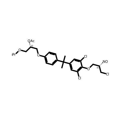 CC(=O)O[C@H](COc1ccc(C(C)(C)c2cc(Cl)c(OC[C@@H](CCl)N=O)c(Cl)c2)cc1)COC(C)C